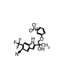 CC(O)(COc1cccc([N+](=O)[O-])c1)c1cc2cc(C#N)c(C(F)(F)F)cc2[nH]1